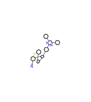 N#Cc1ccc2c(c1)C1(c3ccccc3S2)c2ccccc2-c2ccc(-c3ccc(-c4nc(-c5ccccc5)cc(-c5ccccc5)n4)cc3)cc21